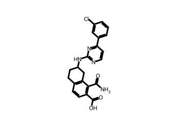 NC(=O)c1c(C(=O)O)ccc2c1CC(Nc1nccc(-c3cccc(Cl)c3)n1)CC2